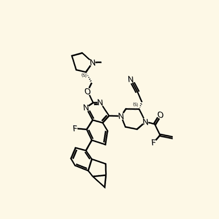 C=C(F)C(=O)N1CCN(c2nc(OC[C@@H]3CCCN3C)nc3c(F)c(-c4cccc5c4CC4CC54)ccc23)C[C@@H]1CC#N